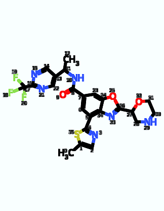 Cc1cnc(-c2cc(C(=O)NC(C)c3cnc(C(F)(F)F)nc3)cc3oc(C4CNCCO4)nc23)s1